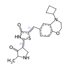 CC1NC/C(=c2/[nH]c(=O)/c(=C/c3ccc4c(c3)N(C3CCC3)CCO4)s2)C1=O